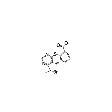 COC(=O)c1ccccc1Sc1ncnc(C(C)Br)c1F